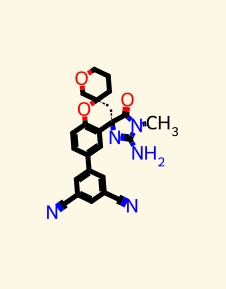 CN1C(=O)[C@@]2(C[C@]3(CCCOC3)Oc3ccc(-c4cc(C#N)cc(C#N)c4)cc32)N=C1N